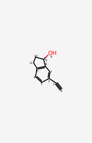 C#Cc1ccc2c(c1)C(O)CC2